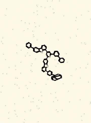 c1ccc(-c2cccc(-c3cc(-c4cccc5c4oc4ccc(-c6ccccc6)cc45)cc(-c4ccc5c(c4)oc4c(-c6ccc(C78CC9CC(CC(C9)C7)C8)cc6)cccc45)n3)c2)cc1